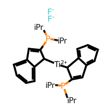 CC(C)P(C1=Cc2ccccc2[CH]1[Ti+2][CH]1C(P(C(C)C)C(C)C)=Cc2ccccc21)C(C)C.[F-].[F-]